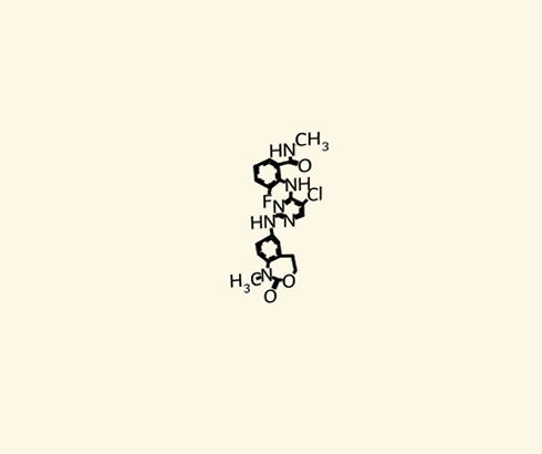 CNC(=O)c1cccc(F)c1Nc1nc(Nc2ccc3c(c2)CCOC(=O)N3C)ncc1Cl